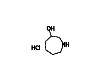 Cl.OC1CCCCNC1